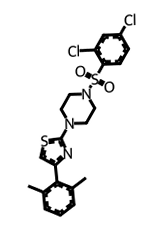 Cc1cccc(C)c1-c1csc(N2CCN(S(=O)(=O)c3ccc(Cl)cc3Cl)CC2)n1